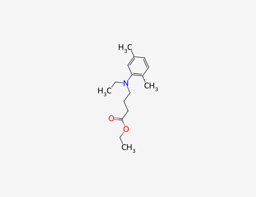 CCOC(=O)CCCN(CC)c1cc(C)ccc1C